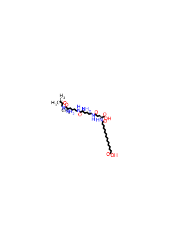 CC(C)C(=O)CN(C)C(=O)[C@H](N)CCCCNC(=O)[C@@H](N)CCCCNC(=O)CC[C@H](NC(=O)CCCCCCCCCCCCCCC(=O)O)C(=O)O